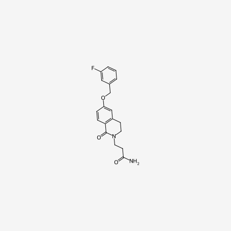 NC(=O)CCN1CCc2cc(OCc3cccc(F)c3)ccc2C1=O